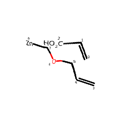 C=CC(=O)O.C=CCO[CH2][Zn]